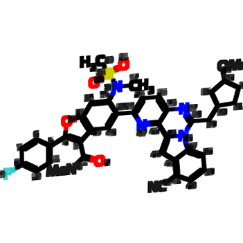 CNC(=O)c1c(-c2ccc(F)cc2)oc2cc(N(C)S(C)(=O)=O)c(-c3ccc4nc(CC5CC[C@H](OC)C5)n5c6cccc(C#N)c6cc5c4n3)cc12